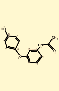 CC(=O)Nc1cccc(Oc2ccc(O)cc2)c1